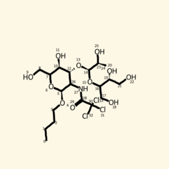 CCCCO[C@H]1OC(CO)[C@@H](O)[C@H](O[C@H](OC(CO)[C@H](O)CO)[C@H](C)O)C1NC(=O)C(Cl)(Cl)Cl